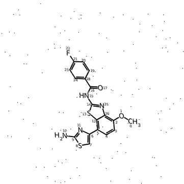 COc1ccc(-c2csc(N)n2)c2sc(NC(=O)c3ccc(F)cc3)nc12